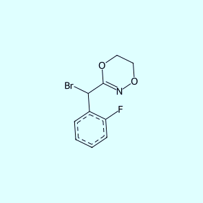 Fc1ccccc1C(Br)C1=NOCCO1